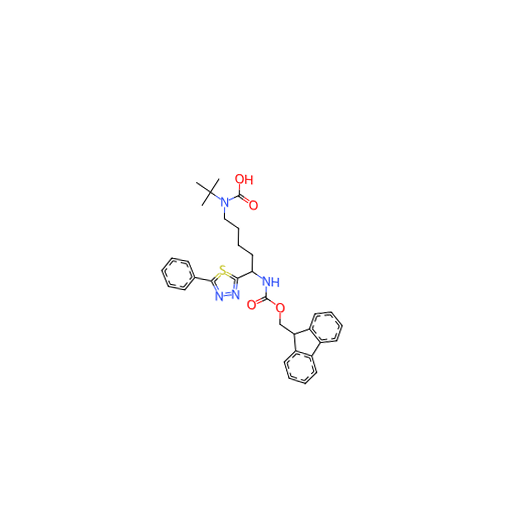 CC(C)(C)N(CCCCC(NC(=O)OCC1c2ccccc2-c2ccccc21)c1nnc(-c2ccccc2)s1)C(=O)O